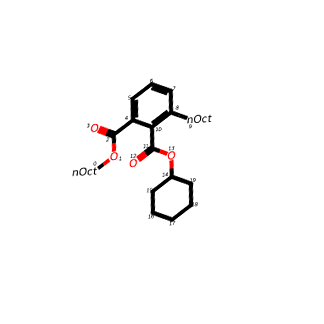 CCCCCCCCOC(=O)c1cccc(CCCCCCCC)c1C(=O)OC1CCCCC1